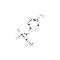 O=C(O)[C@@H]1[C@@H](c2ccc([N+](=O)[O-])cc2)C1(Cl)Cl